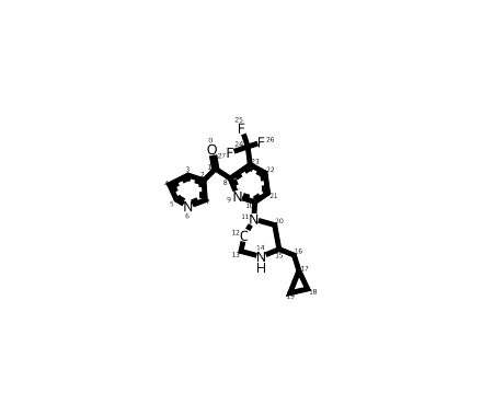 O=C(c1cccnc1)c1nc(N2CCNC(CC3CC3)C2)ccc1C(F)(F)F